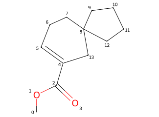 COC(=O)C1=CCCC2(CCCC2)C1